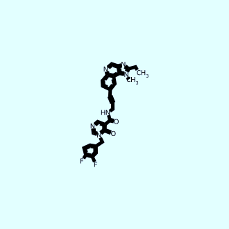 CCc1nc2cnc3ccc(C#CCNC(=O)c4cncn(Cc5ccc(F)c(F)c5)c4=O)cc3c2n1C